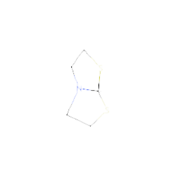 C1CN2CCS[C]2S1